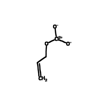 C=CCO[Cl+2]([O-])[O-]